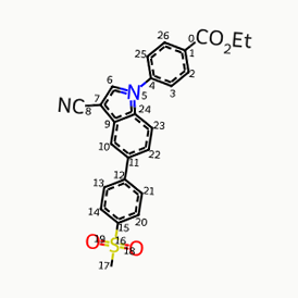 CCOC(=O)c1ccc(-n2cc(C#N)c3cc(-c4ccc(S(C)(=O)=O)cc4)ccc32)cc1